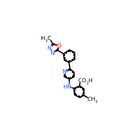 Cc1ccc(Nc2ccc(-c3cccc(-c4nnc(C)o4)c3)nc2)c(C(=O)O)c1